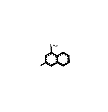 CNc1cc(F)cc2ccccc12